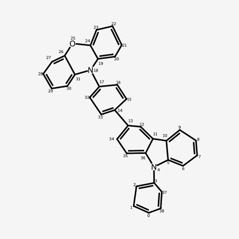 c1ccc(-n2c3ccccc3c3cc(-c4ccc(N5c6ccccc6Oc6ccccc65)cc4)ccc32)cc1